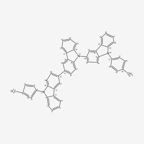 Cc1ccc(-n2c3ccccc3c3cc(-c4ccc5c(c4)c4ccccc4n5-c4ccc5c(c4)c4ccccc4n5-c4ccc(C)cc4)ccc32)cc1